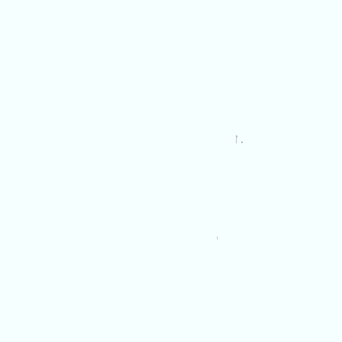 Cc1ccc(-c2cc(CCl)ccn2)c(C)c1-c1ccccc1